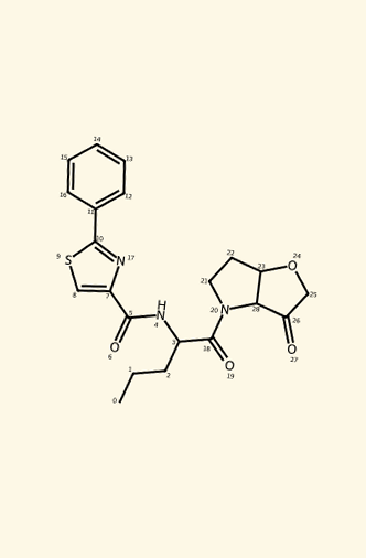 CCCC(NC(=O)c1csc(-c2ccccc2)n1)C(=O)N1CCC2OCC(=O)C21